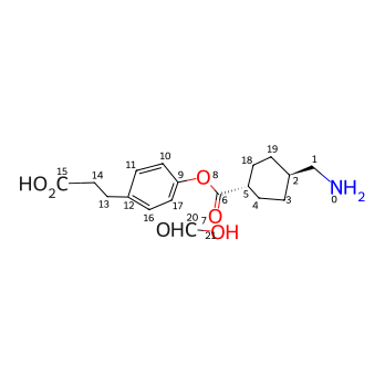 NC[C@H]1CC[C@H](C(=O)Oc2ccc(CCC(=O)O)cc2)CC1.O=CO